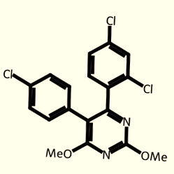 COc1nc(OC)c(-c2ccc(Cl)cc2)c(-c2ccc(Cl)cc2Cl)n1